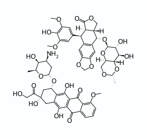 COc1cc([C@@H]2c3cc4c(cc3[C@@H](O[C@@H]3O[C@@H]5CO[C@@H](C)O[C@H]5[C@H](O)[C@H]3O)[C@H]3COC(=O)[C@H]23)OCO4)cc(OC)c1O.COc1cccc2c1C(=O)c1c(O)c3c(c(O)c1C2=O)C[C@@](O)(C(=O)CO)C[C@@H]3O[C@H]1C[C@H](N)[C@H](O)[C@H](C)O1